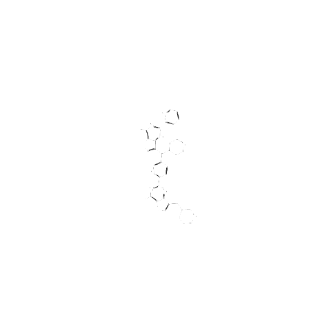 Oc1nc(-c2ccc(C(c3csc4c(O)nc(-c5ccccn5)nc34)C3CCNCC3)cn2)nc2c(CC3CCCNC3)csc12